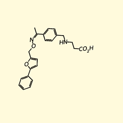 C/C(=N/OCc1ccc(-c2ccccc2)o1)c1ccc(CNCCC(=O)O)cc1